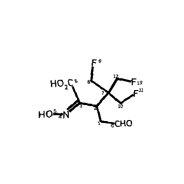 O=CCC(C(=NO)C(=O)O)C(CF)(CF)CF